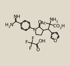 CC(=O)C(N)(C(=O)O)C(c1ccoc1)C1CCN(c2ccc(C(=N)N)cc2)C1=O.O=C(O)C(F)(F)F